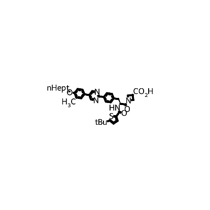 CCCCCCCOc1ccc(-c2cnc(-c3ccc(C[C@H](NC(=O)c4ccc(C(C)(C)C)s4)C(=O)N4CC(C(=O)O)C4)cc3)nc2)cc1C